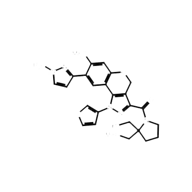 COCC1(CC(C)C)CCCN1C(=O)c1nn(-c2ccsc2)c2c1COc1cc(OC)c(-c3ccn(C)n3)cc1-2